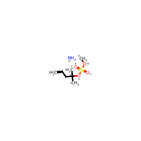 C=CCC(C)(C)OS(=O)(=O)OC.N